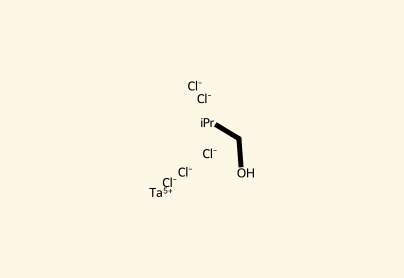 CC(C)CO.[Cl-].[Cl-].[Cl-].[Cl-].[Cl-].[Ta+5]